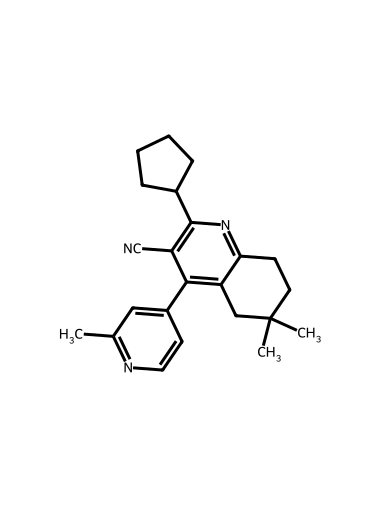 Cc1cc(-c2c(C#N)c(C3CCCC3)nc3c2CC(C)(C)CC3)ccn1